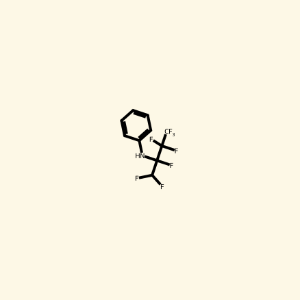 FC(F)C(F)(Nc1ccccc1)C(F)(F)C(F)(F)F